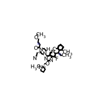 C/C=C(/c1ncc2c(N3CCN(C(=O)/C=C/COC)[C@@H](CC#N)C3)nc(OC[C@@H]3CCCN3C)nc2c1F)c1c(C)cccc1C